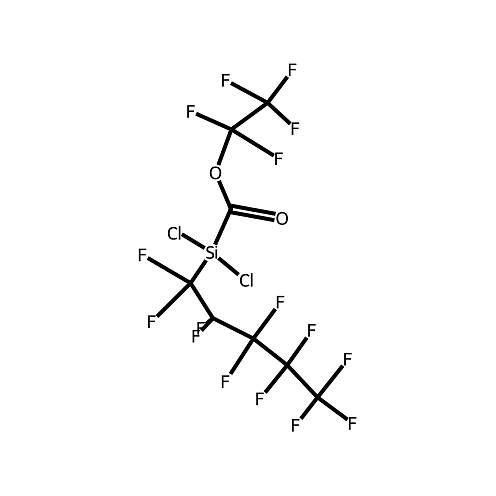 O=C(OC(F)(F)C(F)(F)F)[Si](Cl)(Cl)C(F)(F)C(F)(F)C(F)(F)C(F)(F)C(F)(F)F